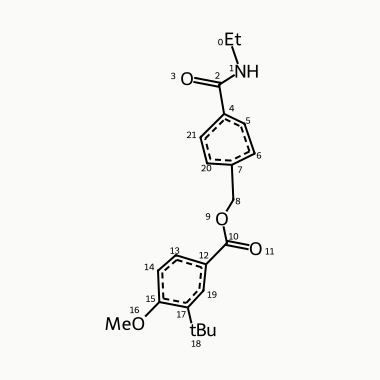 CCNC(=O)c1ccc(COC(=O)c2ccc(OC)c(C(C)(C)C)c2)cc1